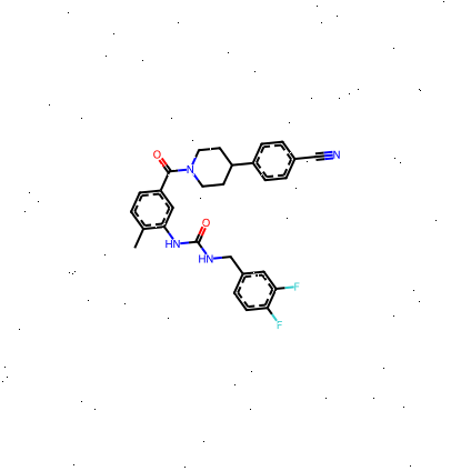 Cc1ccc(C(=O)N2CCC(c3ccc(C#N)cc3)CC2)cc1NC(=O)NCc1ccc(F)c(F)c1